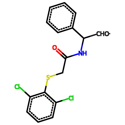 O=[C]C(NC(=O)CSc1c(Cl)cccc1Cl)c1ccccc1